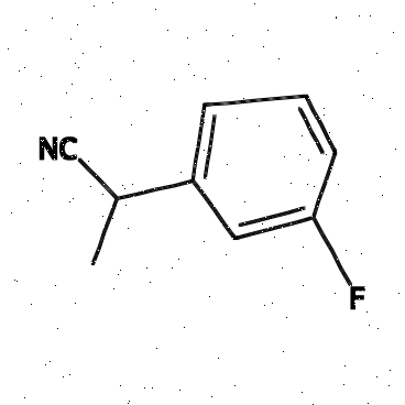 CC(C#N)c1cccc(F)c1